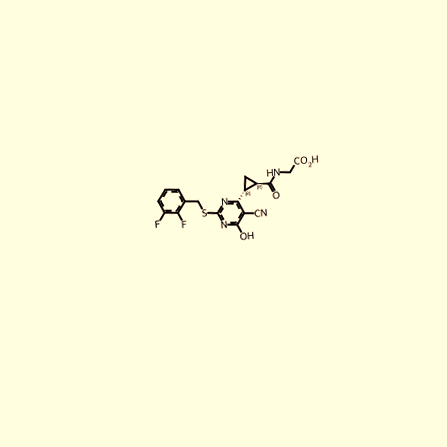 N#Cc1c(O)nc(SCc2cccc(F)c2F)nc1[C@@H]1C[C@H]1C(=O)NCC(=O)O